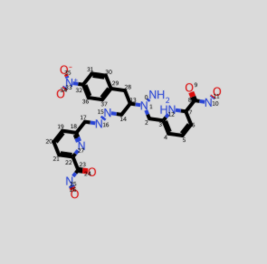 NN(CC1=CC=CC(C(=O)N=O)N1)C(CN=NCc1cccc(C(=O)N=O)n1)Cc1ccc([N+](=O)[O-])cc1